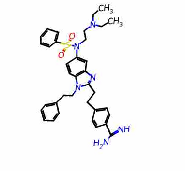 CCN(CC)CCN(c1ccc2c(c1)nc(CCc1ccc(C(=N)N)cc1)n2CCc1ccccc1)S(=O)(=O)c1ccccc1